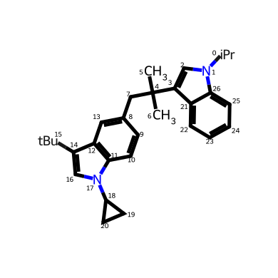 CC(C)n1cc(C(C)(C)Cc2ccc3c(c2)c(C(C)(C)C)cn3C2CC2)c2ccccc21